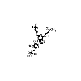 C[S+]([O-])CCNc1nc(SCCC(F)(F)F)nc2c1ncn2[C@@H]1O[C@H](COP(=O)(O)O)[C@@H](O)[C@H]1O